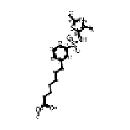 COC(=O)CCCCCCc1cccc(S(=O)(=O)Nc2sc(C)nc2C)c1